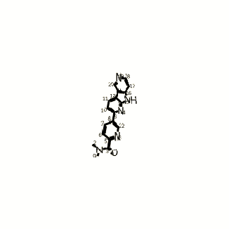 CN(C)C(=O)c1ccc(-c2ccc3c(n2)[nH]c2ccncc23)cn1